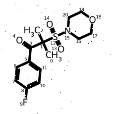 CC(C)(C(=O)c1ccc(F)cc1)S(=O)(=O)N1CCOCC1